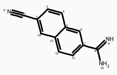 N#Cc1ccc2cc(C(=N)N)ccc2c1